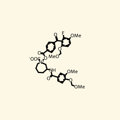 COCOc1ccc(C(=O)NC2CCCC[N+](OC(=O)c3ccc(C(=O)c4c(OCOC)ccc(OC)c4F)cc3)(C(=O)[O-])C2)cc1OC